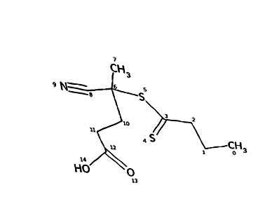 CCCC(=S)SC(C)(C#N)CCC(=O)O